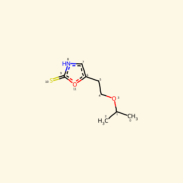 CC(C)OCCc1c[nH]c(=S)o1